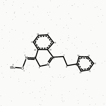 CC(C)(C)ON=C1CN=C(CCc2ccccc2)c2ccccc21